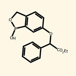 CCOC(=O)C(Oc1ccc2c(c1)B(O)OC2)c1ccccc1